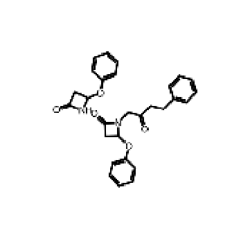 O=C(CCc1ccccc1)CN1C(=O)CC1Oc1ccccc1.O=C1CC(Oc2ccccc2)N1